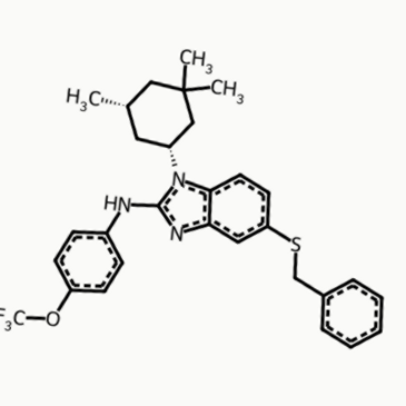 C[C@H]1C[C@@H](n2c(Nc3ccc(OC(F)(F)F)cc3)nc3cc(SCc4ccccc4)ccc32)CC(C)(C)C1